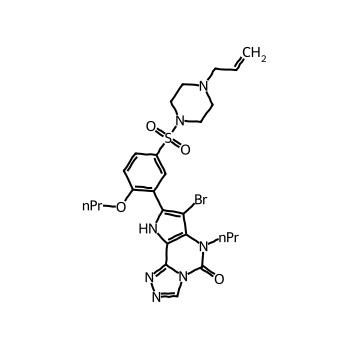 C=CCN1CCN(S(=O)(=O)c2ccc(OCCC)c(-c3[nH]c4c(c3Br)n(CCC)c(=O)n3cnnc43)c2)CC1